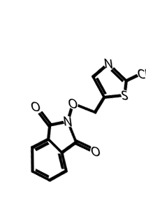 O=C1c2ccccc2C(=O)N1OCc1cnc(Cl)s1